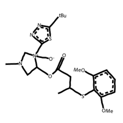 COc1cccc(OC)c1SC(C)CC(=O)OC1CN(C)C[N+]1([O-])c1nnc(C(C)(C)C)s1